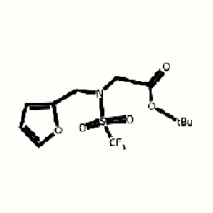 CC(C)(C)OC(=O)CN(Cc1ccco1)S(=O)(=O)C(F)(F)F